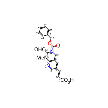 CNc1ncc(/C=C/C(=O)O)cc1CN(CC=O)C(=O)OCc1ccccc1